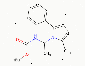 Cc1ccc(-c2ccccc2)n1C(C)NC(=O)OC(C)(C)C